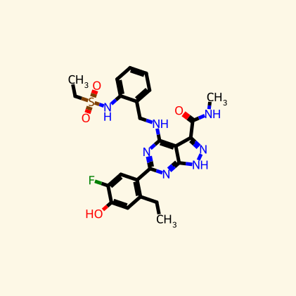 CCc1cc(O)c(F)cc1-c1nc(NCc2ccccc2NS(=O)(=O)CC)c2c(C(=O)NC)n[nH]c2n1